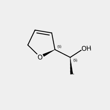 [CH2][C@H](O)[C@@H]1C=CCO1